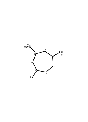 CNC1CC(C)CCC(O)C1